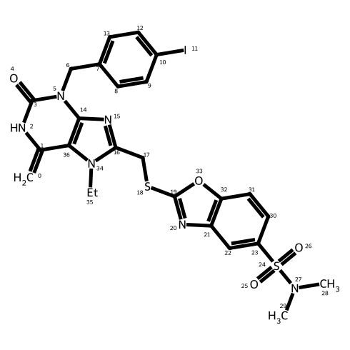 C=C1NC(=O)N(Cc2ccc(I)cc2)c2nc(CSc3nc4cc(S(=O)(=O)N(C)C)ccc4o3)n(CC)c21